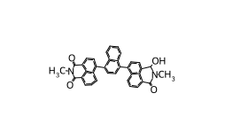 CN1C(=O)c2cccc3c(-c4ccc(-c5ccc6c7c(cccc57)C(=O)N(C)C6O)c5ccccc45)ccc(c23)C1=O